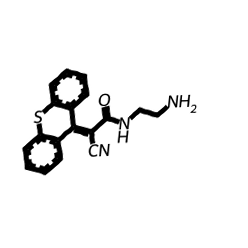 N#CC(C(=O)NCCN)=C1c2ccccc2Sc2ccccc21